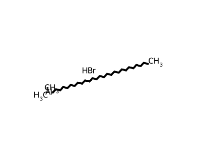 Br.CCCCCCCCCCCCCCCCCCCCCCCCCCC[CH2][Al]([CH3])[CH3]